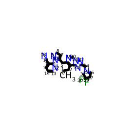 CCCc1c(Cc2ccnn2-c2ncccc2C#N)ncn2nc(CN3CCC(F)(F)C3)nc12